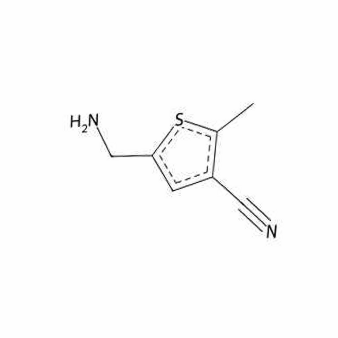 Cc1sc(CN)cc1C#N